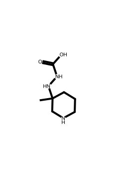 CC1(NNC(=O)O)CCCNC1